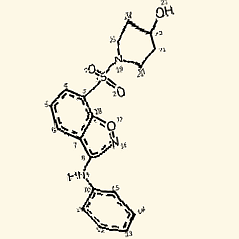 O=S(=O)(c1cccc2c(Nc3ccccc3)noc12)N1CCC(O)CC1